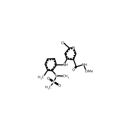 CONC(=O)c1cnc(Cl)cc1Nc1cccc(C)c1N(C)S(C)(=O)=O